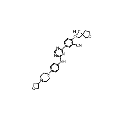 CC1(COc2ccc(-c3ncnc(Nc4ccc(N5CCN(C6COC6)CC5)cc4)n3)cc2C#N)CCOC1